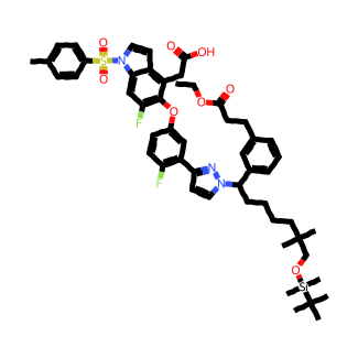 CCOC(=O)CCc1cccc(C(CCCCC(C)(C)CO[Si](C)(C)C(C)(C)C)n2ccc(-c3cc(Oc4c(F)cc5c(ccn5S(=O)(=O)c5ccc(C)cc5)c4CC(=O)O)ccc3F)n2)c1